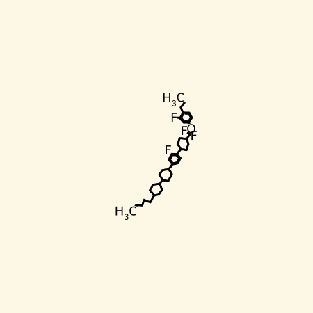 CCCCCC1CCC(C2CCC(c3ccc(C4CCC(C(F)(F)Oc5ccc(CCC)c(F)c5)CC4)c(F)c3)CC2)CC1